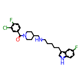 O=C(c1ccc(F)c(Cl)c1)N1CCC(CNCCCCCc2c[nH]c3ccc(F)cc23)CC1